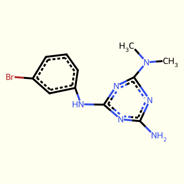 CN(C)c1nc(N)nc(Nc2cccc(Br)c2)n1